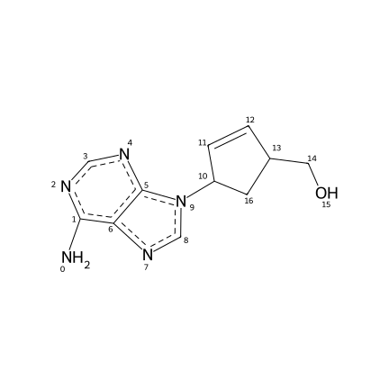 Nc1ncnc2c1ncn2C1C=CC(CO)C1